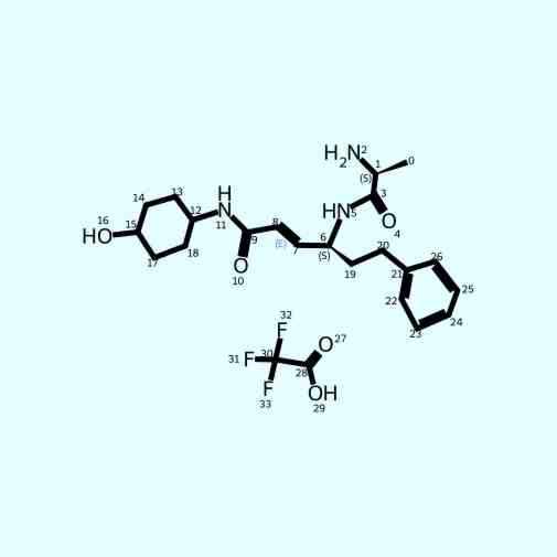 C[C@H](N)C(=O)N[C@H](/C=C/C(=O)NC1CCC(O)CC1)CCc1ccccc1.O=C(O)C(F)(F)F